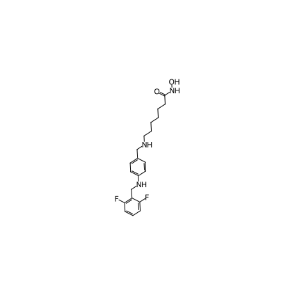 O=C(CCCCCCNCc1ccc(NCc2c(F)cccc2F)cc1)NO